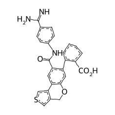 N=C(N)c1ccc(NC(=O)c2cc3c(cc2-c2ccccc2C(=O)O)OCc2cscc2-3)cc1